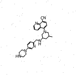 CC1CC(NCc2ccc(N3CCNCC3)cn2)CN(c2ccc(C#N)c3ncccc23)C1